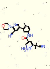 Cc1ccc(NC(=O)C(/C=C(\N)C(C)(C)C#N)=C/N)cc1-c1cnc(N2CCOCC2)c(C#N)c1